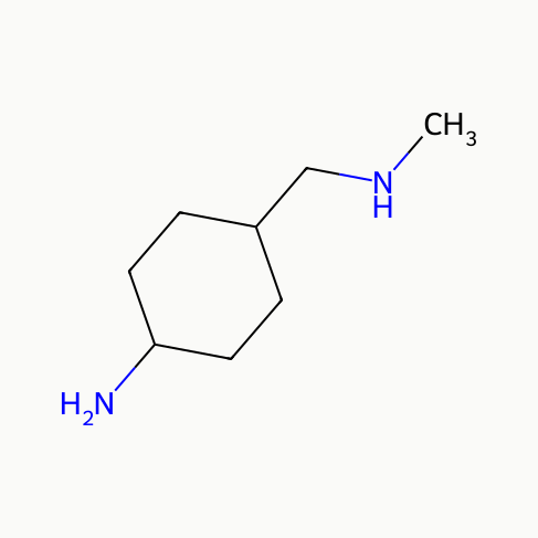 CNCC1CCC(N)CC1